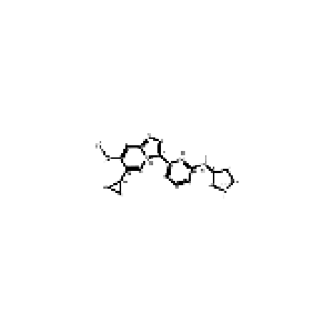 CCOc1cc2ncc(-c3cccc(NC4CCNC4)n3)n2cc1C1CC1